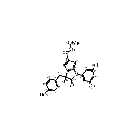 COOSc1cn2c(n1)N(c1cc(Cl)cc(Cl)c1)C(=O)C2(C)Cc1ccc(Br)cc1